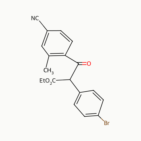 CCOC(=O)C(C(=O)c1ccc(C#N)cc1C)c1ccc(Br)cc1